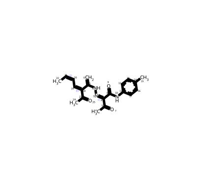 C=C(N/N=C(/C(C)=O)C(=O)Nc1ccc(C)cc1)/C(=C\C=C/C)C(C)=O